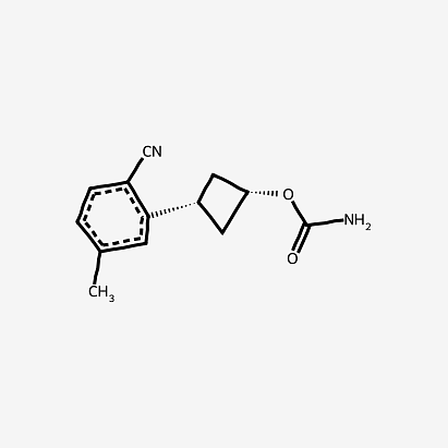 Cc1ccc(C#N)c([C@H]2C[C@@H](OC(N)=O)C2)c1